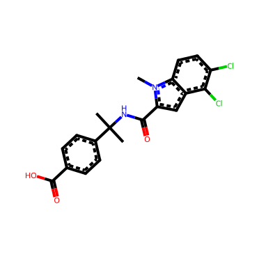 Cn1c(C(=O)NC(C)(C)c2ccc(C(=O)O)cc2)cc2c(Cl)c(Cl)ccc21